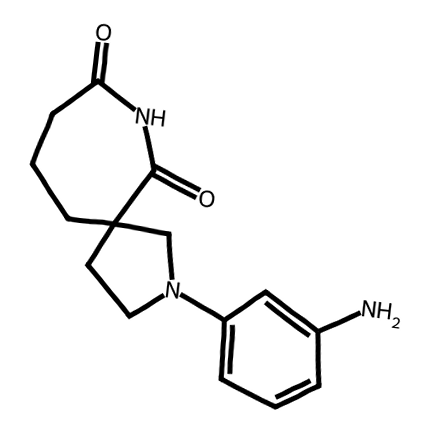 Nc1cccc(N2CCC3(CCCC(=O)NC3=O)C2)c1